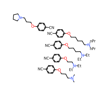 CCCN(CCC)CCCCCOc1ccc(C#N)cc1.CCN(CC)CCCCOc1ccc(C#N)cc1.CCN(CC)CCOc1ccc(C#N)cc1.CN(C)CCCOc1ccc(C#N)cc1.N#Cc1ccc(OCCCN2CCCC2)cc1